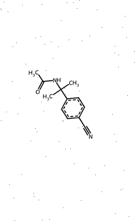 CC(=O)NC(C)(C)c1ccc(C#N)cc1